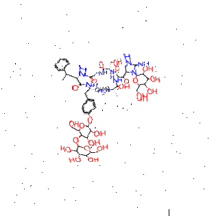 CC(c1ccccc1)[C@H](NC(=O)CNC(=O)[C@H](CO)NC(=O)[C@@H](NC(=O)[C@H](C)N)C(O)C1CNC(=N)N1C1OC(CO)C(O)C(O)C1O)C(=O)N[C@H]([C]=O)Cc1ccc(OC2OC(CO)C(OC3OC(CO)C(O)C(O)C3O)C(O)C2O)cc1